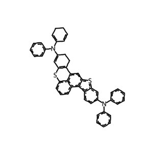 C1=CC(N(C2=CC3=C(CC2)c2cc4sc5cc(N(c6ccccc6)c6ccccc6)ccc5c4c4cccc(c24)S3)c2ccccc2)=CCC1